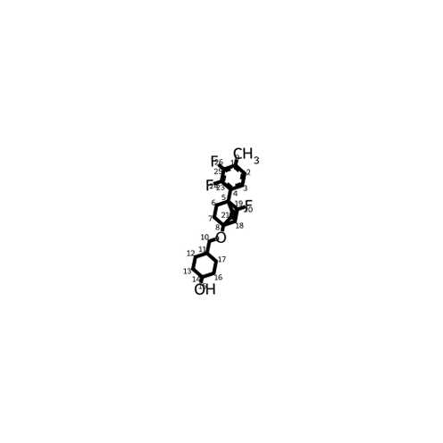 Cc1ccc(C23CCC(OCC4CCC(O)CC4)(C=C2F)CC3)c(F)c1F